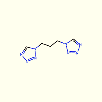 c1nnnn1CCCn1cnnn1